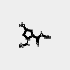 CC(C)(C)OC(=O)N1CC(O)C[C@H]1CC#N